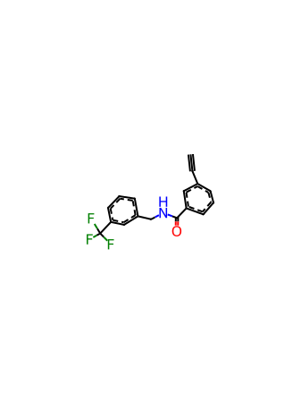 C#Cc1cccc(C(=O)NCc2cccc(C(F)(F)F)c2)c1